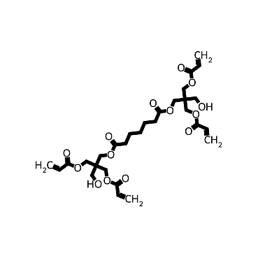 C=CC(=O)OCC(CO)(COC(=O)C=C)COC(=O)CCCCCC(=O)OCC(CO)(COC(=O)C=C)COC(=O)C=C